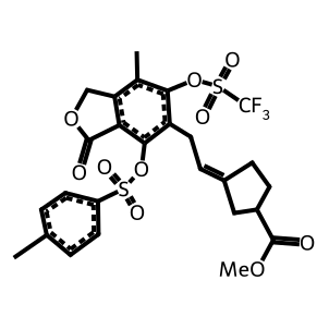 COC(=O)C1CC/C(=C\Cc2c(OS(=O)(=O)C(F)(F)F)c(C)c3c(c2OS(=O)(=O)c2ccc(C)cc2)C(=O)OC3)C1